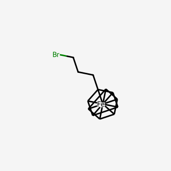 BrCCC[C]12[CH]3[CH]4[CH]5[CH]1[Fe]45321678[CH]2[CH]1[CH]6[CH]7[CH]28